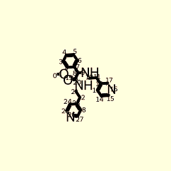 COc1ccccc1C(NCCc1cccnc1)C(=O)NCCc1ccncc1